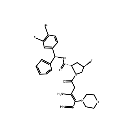 CC(C)c1ccc([C@@H](NC(=O)[C@@H]2C[C@@H](F)CN2C(=O)C/C(N)=C(/N=N)N2CCOCC2)c2ccccc2)cc1F